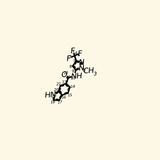 Cn1nc(C(F)(F)F)cc1NC(=O)c1ccc2cc[nH]c2c1